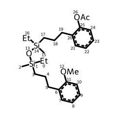 CC[Si](C)(CCCc1ccccc1OC)O[Si](C)(CC)CCCc1ccccc1OC(C)=O